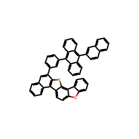 c1cc(-c2c3ccccc3c(-c3ccc4ccccc4c3)c3ccccc23)cc(-c2cc3ccccc3c3c2sc2c3ccc3oc4ccccc4c32)c1